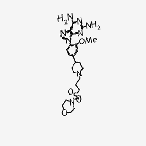 COc1cc(C2CCN(CCCS(=O)(=O)N3CCOCC3)CC2)ccc1-n1cnc2c(N)nc(N)nc21